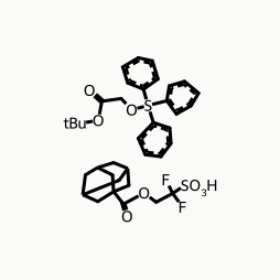 CC(C)(C)OC(=O)COS(c1ccccc1)(c1ccccc1)c1ccccc1.O=C(OCC(F)(F)S(=O)(=O)O)C12CC3CC(CC(C3)C1)C2